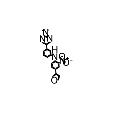 CN(C)c1ncc(-c2cccc(Nc3ccc(-c4ccoc4)cc3[N+](=O)[O-])c2)cn1